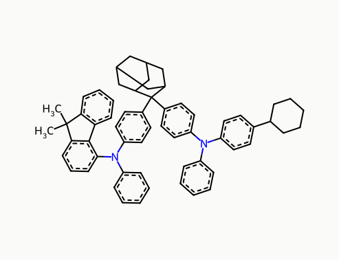 CC1(C)c2ccccc2-c2c(N(c3ccccc3)c3ccc(C4(c5ccc(N(c6ccccc6)c6ccc(C7CCCCC7)cc6)cc5)C5CC6CC(C5)CC4C6)cc3)cccc21